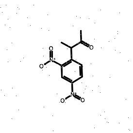 CC(=O)C(C)c1ccc([N+](=O)[O-])cc1[N+](=O)[O-]